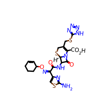 Nc1nc(/C(=N/OC2C=CCCC2)C(=O)NC2C(=O)N3C(C(=O)O)=C(CSc4nnn[nH]4)CS[C@H]23)cs1